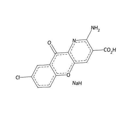 Nc1nc2c(=O)c3cc(Cl)ccc3oc2cc1C(=O)O.[NaH]